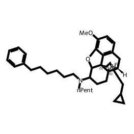 CCCCCN(CCCCCCc1ccccc1)C1CC[C@@]2(O)[C@H]3Cc4ccc(OC)c5c4[C@@]2(CCN3CC2CC2)C1O5